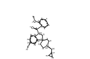 COc1ccccc1C(=O)N1CC2(CCN(CC3CC3)CC2)c2cc(F)ccc21